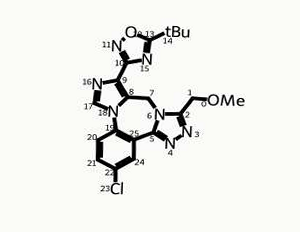 COCc1nnc2n1Cc1c(-c3noc(C(C)(C)C)n3)ncn1-c1ccc(Cl)cc1-2